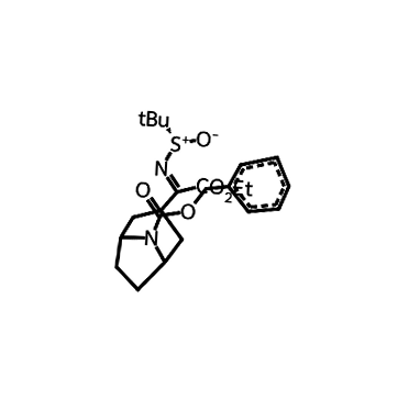 CCOC(=O)C(=N[S@@+]([O-])C(C)(C)C)C1CC2CCC(C1)N2C(=O)OCc1ccccc1